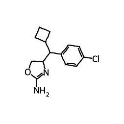 NC1=NC(C(c2ccc(Cl)cc2)C2CCC2)CO1